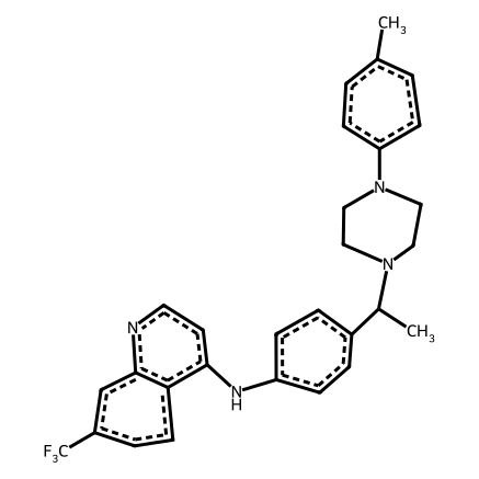 Cc1ccc(N2CCN(C(C)c3ccc(Nc4ccnc5cc(C(F)(F)F)ccc45)cc3)CC2)cc1